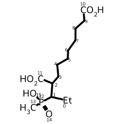 CCC(C(CCCCCCCC(=O)O)C(=O)O)P(C)(=O)O